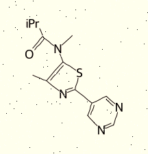 Cc1nc(-c2cncnc2)sc1N(C)C(=O)C(C)C